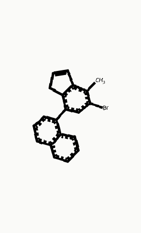 Cc1c(Br)cc(-c2cccc3ccccc23)c2c1C=CC2